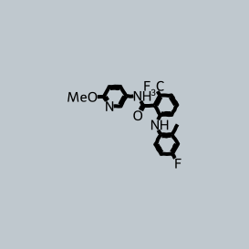 COc1ccc(NC(=O)c2c(Nc3ccc(F)cc3C)cccc2C(F)(F)F)cn1